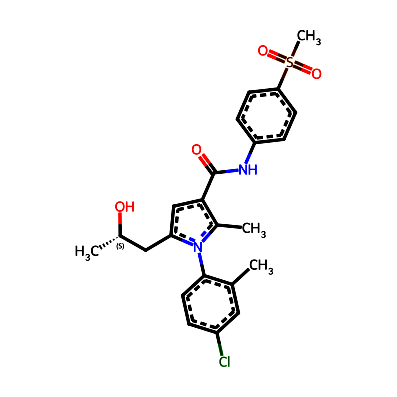 Cc1cc(Cl)ccc1-n1c(C[C@H](C)O)cc(C(=O)Nc2ccc(S(C)(=O)=O)cc2)c1C